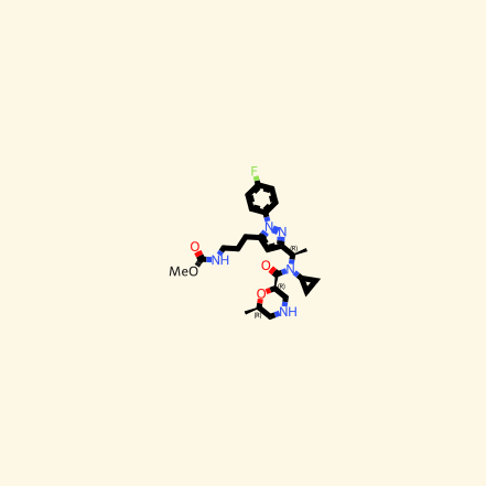 COC(=O)NCCCc1cc([C@@H](C)N(C(=O)[C@H]2CNC[C@@H](C)O2)C2CC2)nn1-c1ccc(F)cc1